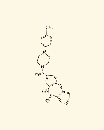 Cc1ccc(N2CCN(C(=O)c3ccc4c(c3)NC(=O)c3ccccc3S4)CC2)cc1